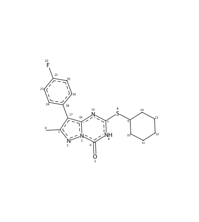 Cc1nn2c(=O)[nH]c(SC3CCCCC3)nc2c1-c1ccc(F)cc1